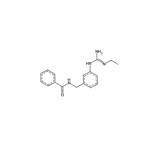 CCN=C(N)Nc1cccc(CNC(=O)c2ccccc2)c1